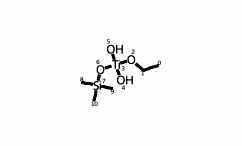 CC[O][Ti]([OH])([OH])[O][Si](C)(C)C